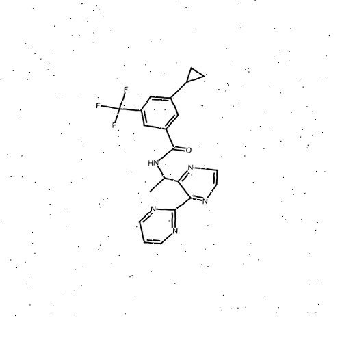 CC(NC(=O)c1cc(C2CC2)cc(C(F)(F)F)c1)c1nccnc1-c1ncccn1